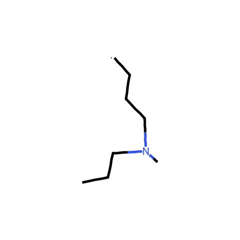 [CH2]CCCN(C)CCC